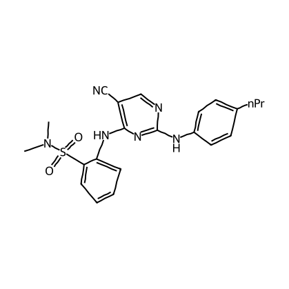 CCCc1ccc(Nc2ncc(C#N)c(Nc3ccccc3S(=O)(=O)N(C)C)n2)cc1